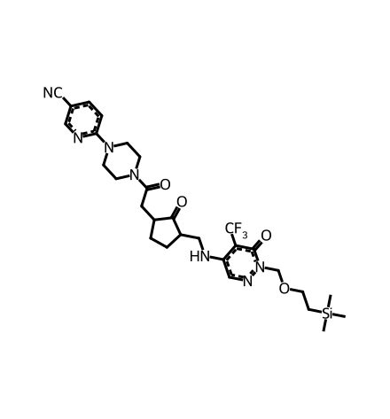 C[Si](C)(C)CCOCn1ncc(NCC2CCC(CC(=O)N3CCN(c4ccc(C#N)cn4)CC3)C2=O)c(C(F)(F)F)c1=O